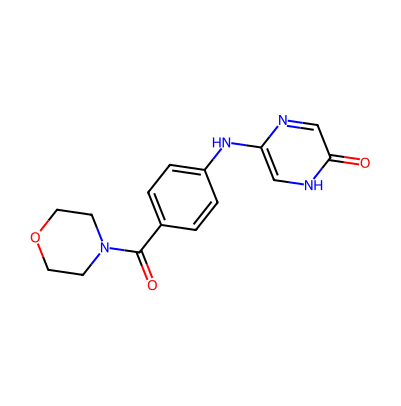 O=C(c1ccc(Nc2c[nH]c(=O)cn2)cc1)N1CCOCC1